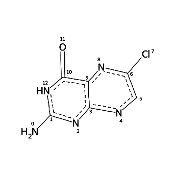 Nc1nc2ncc(Cl)nc2c(=O)[nH]1